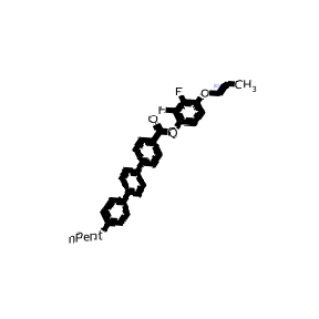 C/C=C/Oc1ccc(OC(=O)c2ccc(-c3ccc(-c4ccc(CCCCC)cc4)cc3)cc2)c(F)c1F